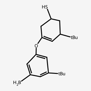 Bc1cc(OC2=CC(C(C)(C)C)CC(S)C2)cc(C(C)(C)C)c1